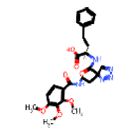 COc1ccc(C(=O)NCCC2(C(=O)N[C@@H](CCc3ccccc3)C(=O)O)C=NN=N2)c(OC)c1OC